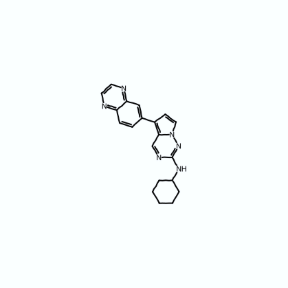 c1cnc2cc(-c3ccn4nc(NC5CCCCC5)ncc34)ccc2n1